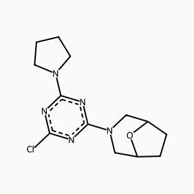 Clc1nc(N2CCCC2)nc(N2CC3CCC(C2)O3)n1